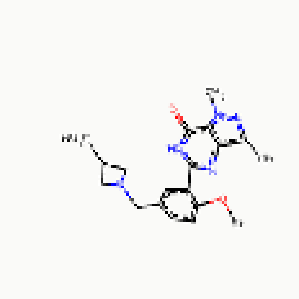 CCCc1nn(C)c2c(=O)[nH]c(-c3cc(CN4CC(C(=O)O)C4)ccc3OCC)nc12